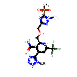 Cn1nnnc1-c1cc(C(F)(F)F)nc(COCc2nc(S(C)(=O)=O)n(C)n2)c1C(N)=O